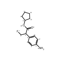 Nc1ccc(C(CF)C(=O)OC2CCCC2)cc1